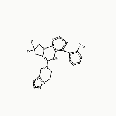 O=C(Nc1c(-c2ccccc2P)ccnc1N1CCC(F)(F)C1)N1CCn2nncc2C1